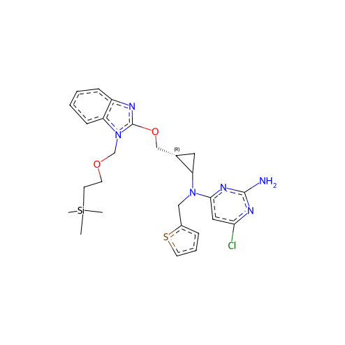 C[Si](C)(C)CCOCn1c(OC[C@@H]2CC2N(Cc2cccs2)c2cc(Cl)nc(N)n2)nc2ccccc21